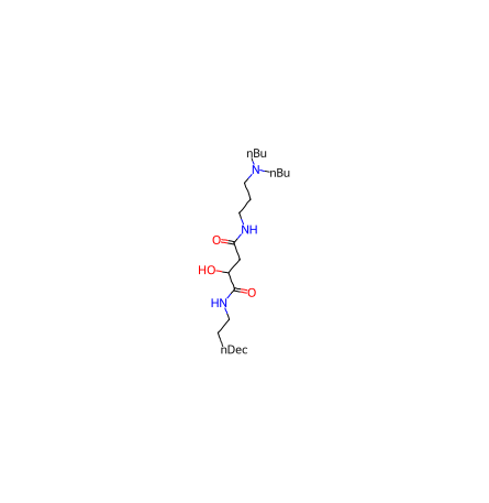 CCCCCCCCCCCCNC(=O)C(O)CC(=O)NCCCN(CCCC)CCCC